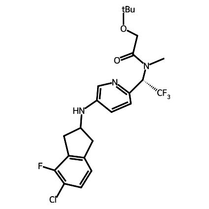 CN(C(=O)COC(C)(C)C)[C@@H](c1ccc(NC2Cc3ccc(Cl)c(F)c3C2)cn1)C(F)(F)F